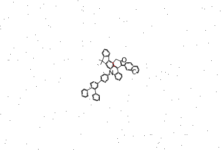 CC1(C)c2ccccc2-c2ccc(N(c3ccc(-c4ccc(-c5ccccc5)c(-c5ccccc5)c4)cc3)c3ccccc3C3=CCCc4oc5cc6ccccc6cc5c43)cc21